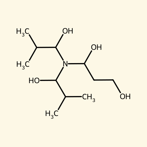 CC(C)C(O)N(C(O)CCO)C(O)C(C)C